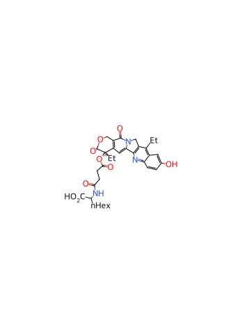 CCCCCCC(NC(=O)CCC(=O)O[C@]1(CC)C(=O)OCc2c1cc1n(c2=O)Cc2c-1nc1ccc(O)cc1c2CC)C(=O)O